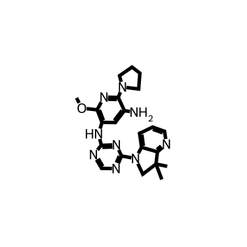 COc1nc(N2CCCC2)c(N)cc1Nc1ncnc(N2CC(C)(C)c3ncccc32)n1